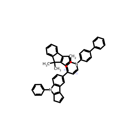 C=C/C=C(\C=C/N(C1=CC2=C(C1)c1ccccc1C2(C)C)c1ccc(-c2ccccc2)cc1)c1ccc2c(c1)c1c(n2-c2ccccc2)CC=C1